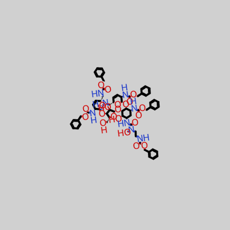 NC[C@@H]1C=C[C@@H](NC(=O)OCc2ccccc2)[C@@H](O[C@H]2[C@H](O[C@@H]3O[C@H](CO)[C@@H](O[C@H]4O[C@@H](CNC(=O)OCc5ccccc5)C=C[C@H]4NC(=O)OCc4ccccc4)[C@H]3O)[C@@H](O)[C@H](NC(=O)N(O)CCNC(=O)OCc3ccccc3)C[C@@H]2NC(=O)OCc2ccccc2)O1